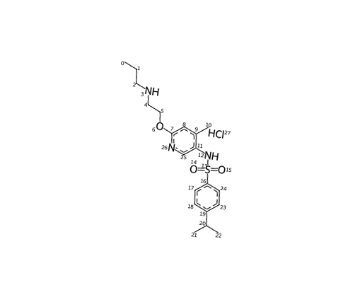 CCCNCCOc1cc(C)c(NS(=O)(=O)c2ccc(C(C)C)cc2)cn1.Cl